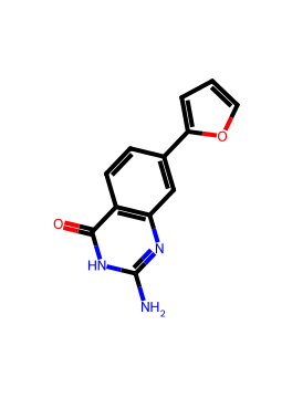 Nc1nc2cc(-c3ccco3)ccc2c(=O)[nH]1